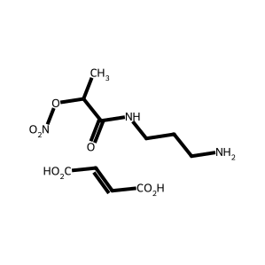 CC(O[N+](=O)[O-])C(=O)NCCCN.O=C(O)C=CC(=O)O